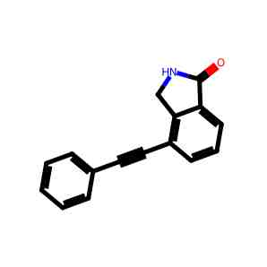 O=C1NCc2c(C#Cc3ccccc3)cccc21